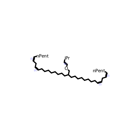 CCCCC/C=C\C/C=C\CCCCCCCCC(CCCCCCCC/C=C\C/C=C\CCCCC)CO/C=C/C(C)C